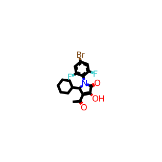 CC(=O)C1=C(O)C(=O)N(c2c(F)cc(Br)cc2F)C1C1CCCCC1